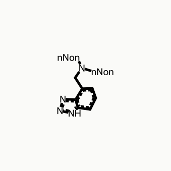 CCCCCCCCCN(CCCCCCCCC)Cc1cccc2[nH]nnc12